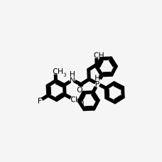 CCCC(C(=O)Nc1c(C)cc(F)cc1C)[PH](c1ccccc1)(c1ccccc1)c1ccccc1